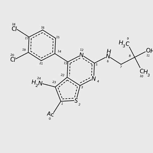 CC(=O)c1sc2nc(NCC(C)(C)O)nc(-c3ccc(Cl)c(Cl)c3)c2c1N